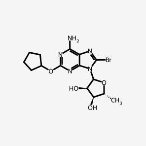 C[C@H]1OC(n2c(Br)nc3c(N)nc(OC4CCCC4)nc32)[C@H](O)[C@@H]1O